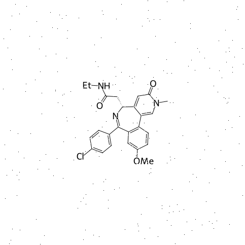 CCNC(=O)C[C@H]1N=C(c2ccc(Cl)cc2)c2cc(OC)ccc2-c2cn(C)c(=O)cc21